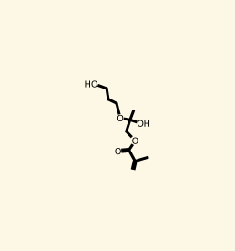 C=C(C)C(=O)OCC(C)(O)OCCCO